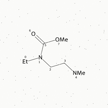 CCN(CCNC)C(=O)OC